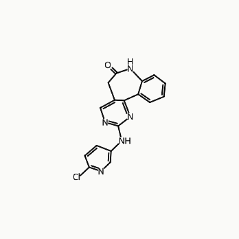 O=C1Cc2cnc(Nc3ccc(Cl)nc3)nc2-c2ccccc2N1